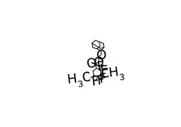 CCC1CC(C(=O)OCOC2C3CC4CC(C3)CC2C4)C(F)(F)C(C)(F)C1(F)F